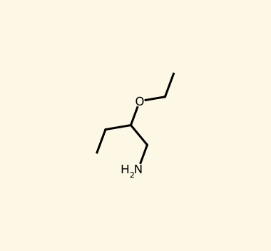 CCOC(CC)CN